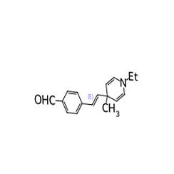 CCN1C=CC(C)(/C=C/c2ccc(C=O)cc2)C=C1